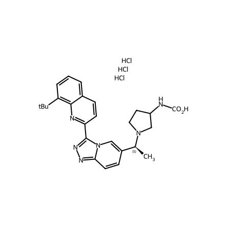 C[C@@H](c1ccc2nnc(-c3ccc4cccc(C(C)(C)C)c4n3)n2c1)N1CCC(NC(=O)O)C1.Cl.Cl.Cl